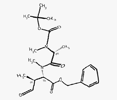 C[C@H](C=O)[C@@H](C(=O)OCc1ccccc1)N(C)C(=O)[C@@H](C)N(C)C(=O)OC(C)(C)C